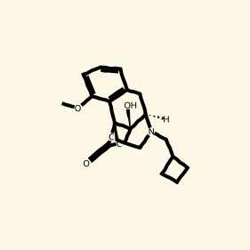 COc1cccc2c1[C@]13CCN(CC4CCC4)[C@H](C2)[C@]1(O)CCC(=O)C3